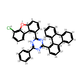 Clc1cccc2c1oc1cccc(-c3nc(-c4ccccc4)nc(-c4cccc5c6ccccc6c6ccccc6c45)n3)c12